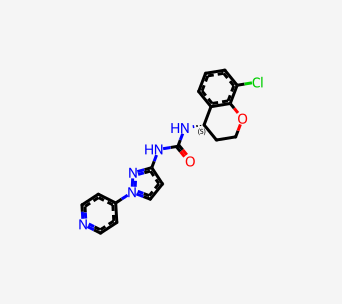 O=C(Nc1ccn(-c2ccncc2)n1)N[C@H]1CCOc2c(Cl)cccc21